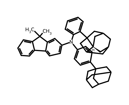 CC1(C)c2ccccc2-c2ccc(N(c3ccc(C45CC6CC(CC(C6)C4)C5)cc3)c3ccccc3C34CC5CC6CC(C3)[C@@]4(C6)C5)cc21